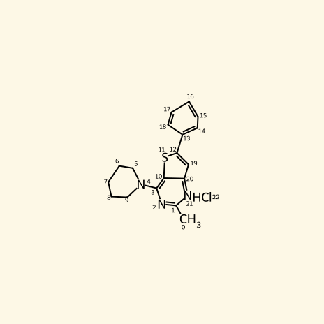 Cc1nc(N2CCCCC2)c2sc(-c3ccccc3)cc2n1.Cl